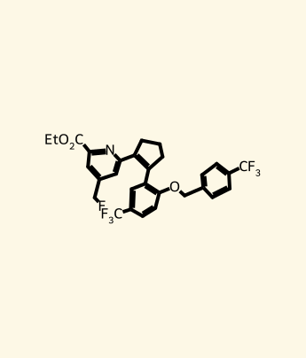 CCOC(=O)c1cc(CF)cc(C2=C(c3cc(C(F)(F)F)ccc3OCc3ccc(C(F)(F)F)cc3)CCC2)n1